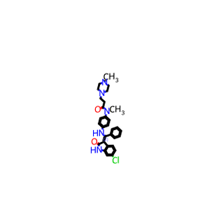 CN1CCN(CCC(=O)N(C)c2ccc(N/C(=C3\C(=O)Nc4cc(Cl)ccc43)c3ccccc3)cc2)CC1